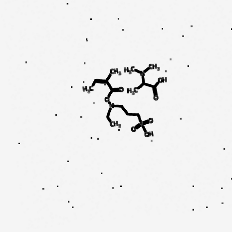 CC(C(=O)O)N(C)C.CC=C(C)C(=O)ON(CC)CCCS(=O)(=O)O